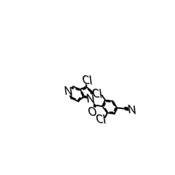 N#Cc1cc(Cl)c(C(=O)n2cc(Cl)c3cnccc32)c(Cl)c1